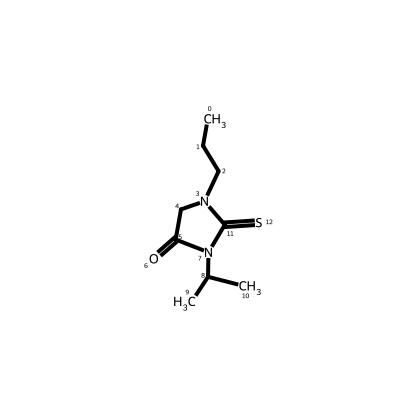 CCCN1CC(=O)N(C(C)C)C1=S